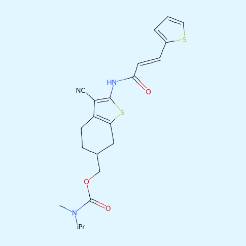 CC(C)N(C)C(=O)OCC1CCc2c(sc(NC(=O)C=Cc3cccs3)c2C#N)C1